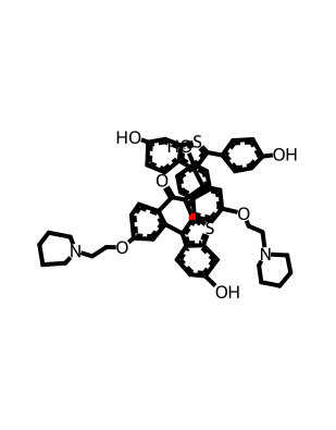 O=C(c1ccc(OCCN2CCCCC2)cc1-c1c(-c2ccc(O)cc2)sc2cc(O)ccc12)c1ccc(OCCN2CCCCC2)cc1-c1c(-c2ccc(O)cc2)sc2cc(O)ccc12